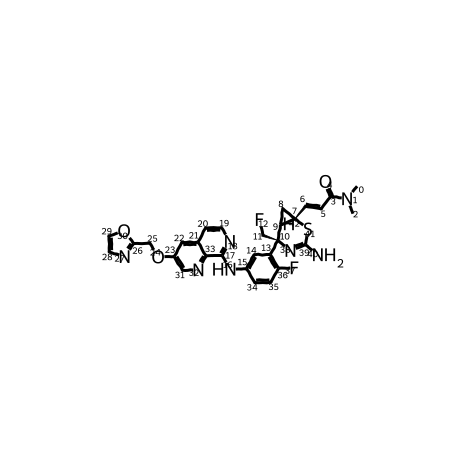 CN(C)C(=O)C=C[C@]12C[C@H]1[C@@](CF)(c1cc(Nc3nccc4cc(OCc5ncco5)cnc34)ccc1F)N=C(N)S2